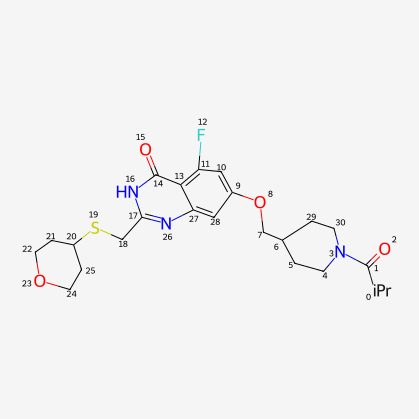 CC(C)C(=O)N1CCC(COc2cc(F)c3c(=O)[nH]c(CSC4CCOCC4)nc3c2)CC1